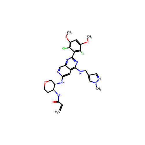 C=CC(=O)N[C@H]1CCOC[C@H]1Nc1cc2c(NCc3cnn(C)c3)nc(-c3c(Cl)c(OC)cc(OC)c3Cl)nc2cn1